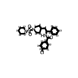 O=C(NC(CC1CCN(S(=O)(=O)N2CCCCC2)CC1)c1ccccc1)c1ccc(Cl)cc1